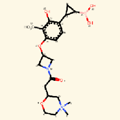 C[N+]1(C)CCOC(CC(=O)N2CC(Oc3ccc(C4CC4B(O)O)c(O)c3C(=O)O)C2)C1